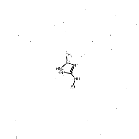 CCNC1=NN(C)NN1